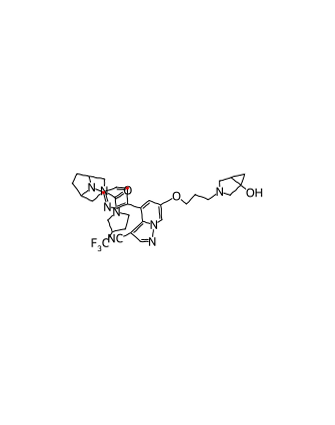 N#Cc1cnn2cc(OCCCN3CC4CC4(O)C3)cc(-c3ccc(N4C5CCC4CN(C(=O)N4CCC(C(F)(F)F)C4)C5)nc3)c12